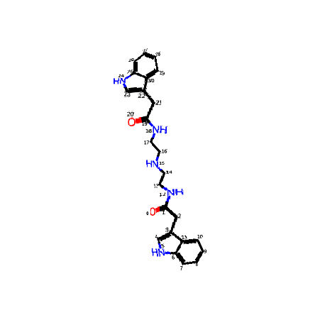 O=C(Cc1c[nH]c2ccccc12)NCCNCCNC(=O)Cc1c[nH]c2ccccc12